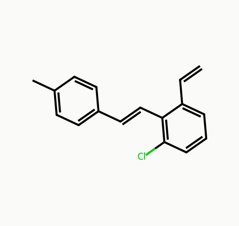 C=Cc1cccc(Cl)c1/C=C/c1ccc(C)cc1